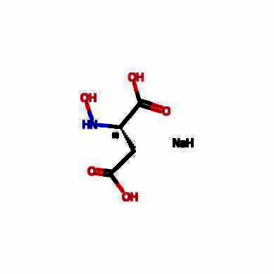 O=C(O)C[C@H](NO)C(=O)O.[NaH]